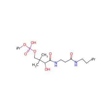 CC(C)CCNC(=O)CCNC(=O)C(O)C(C)(C)COP(=O)(O)OC(C)C